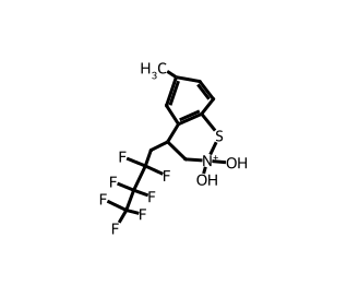 Cc1ccc2c(c1)C(CC(F)(F)C(F)(F)C(F)(F)F)C[N+](O)(O)S2